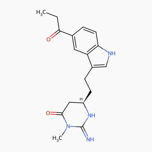 CCC(=O)c1ccc2[nH]cc(CC[C@@H]3CC(=O)N(C)C(=N)N3)c2c1